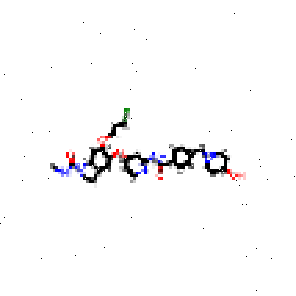 CNC(=O)N1CCc2cc(Oc3ccnc(NC(=O)c4ccc(CN5CCC(O)CC5)cc4)c3)c(OCCCF)cc21